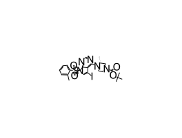 Cc1ccccc1S(=O)(=O)n1cc(I)c2c(N3CCN(C(=O)OC(C)(C)C)C[C@H]3C)ncnc21